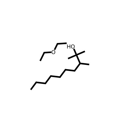 CCCCCCCC(C)C(C)(C)O.CCOCC